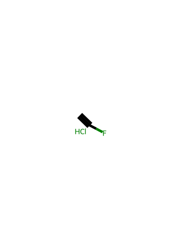 C#CF.Cl